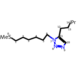 CSCCCCCCn1nncc1CCC(C)C